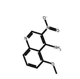 COc1cccc2ncc([N+](=O)[O-])c(N)c12